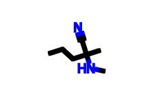 CCCC(C)(C#N)NC